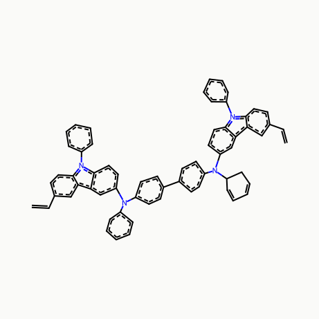 C=Cc1ccc2c(c1)c1cc(N(c3ccccc3)c3ccc(-c4ccc(N(c5ccc6c(c5)c5cc(C=C)ccc5n6-c5ccccc5)C5C=CC=CC5)cc4)cc3)ccc1n2-c1ccccc1